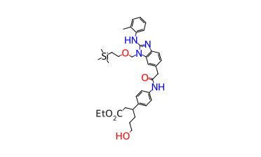 CCOC(=O)CC(CCCO)c1ccc(NC(=O)Cc2ccc3nc(Nc4ccccc4C)n(COCC[Si](C)(C)C)c3c2)cc1